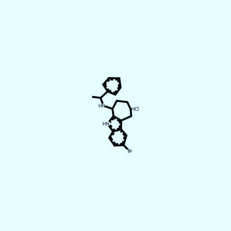 CC(NC1CCCCc2c1[nH]c1ccc(Br)cc21)c1ccccc1.Cl